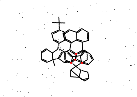 CC(C)(C)c1ccc(N(c2ccccc2-c2cccc3cccc(C4=CC=CCC4)c23)C2C=CC=CC2(C)c2ccc3c(c2)C2(c4ccccc4-3)C3CC4CC(C3)C2C4)cc1